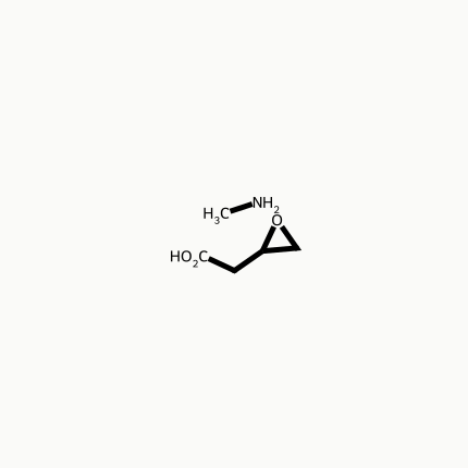 CN.O=C(O)CC1CO1